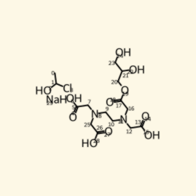 CC(O)Cl.O=C(O)CN(CCN(CC(=O)O)CC(=O)OCC(O)CO)CC(=O)O.[NaH]